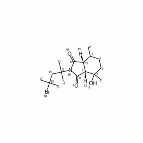 CC1CCC(C)(O)[C@@H]2C(=O)N(C(C)(C)CC(C)(C)Br)C(=O)[C@H]12